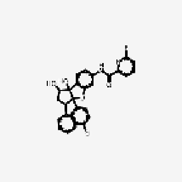 O=C(Nc1ccc2c(c1)OC1(c3ccc(Cl)cc3)C(c3ccccc3)CC(O)C21O)c1cccc(F)n1